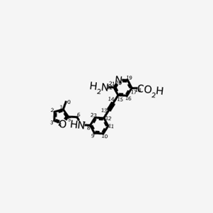 Cc1ccoc1CNc1cccc(C#Cc2cc(C(=O)O)cnc2N)c1